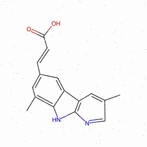 Cc1cnc2[nH]c3c(C)cc(C=CC(=O)O)cc3c2c1